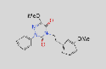 COc1cccc(CCn2c(=O)c(OC)nn(-c3ccccc3)c2=O)c1